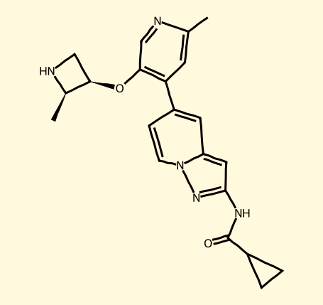 Cc1cc(-c2ccn3nc(NC(=O)C4CC4)cc3c2)c(O[C@@H]2CN[C@@H]2C)cn1